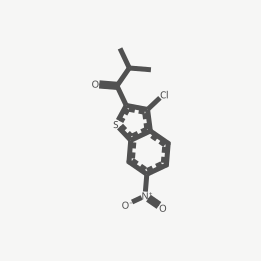 CC(C)C(=O)c1sc2cc([N+](=O)[O-])ccc2c1Cl